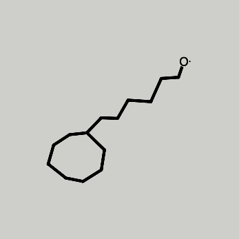 [O]CCCCCCC1CCCCCCC1